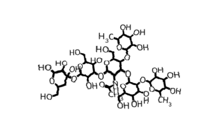 CC(=O)NC1C(OC2C(O)C(CO)OC(OC3(O)CC(CO)OC(O)C3O)C2O)OC(CO)C(OC2OC(C)C(O)C(O)C2O)C1OC1OC(CO)C(O)C(O)C1OC1OC(C)C(O)C(O)C1O